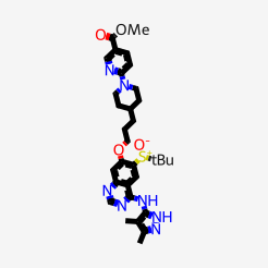 COC(=O)c1ccc(N2CCC(CCCOc3cc4ncnc(Nc5[nH]nc(C)c5C)c4cc3[S+]([O-])C(C)(C)C)CC2)nc1